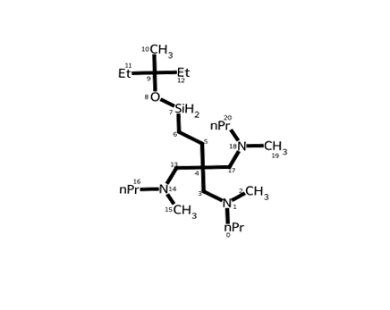 CCCN(C)CC(CC[SiH2]OC(C)(CC)CC)(CN(C)CCC)CN(C)CCC